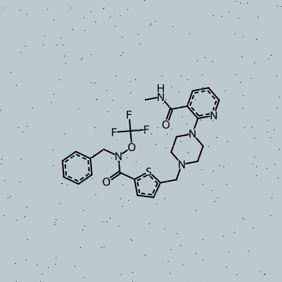 CNC(=O)c1cccnc1N1CCN(Cc2ccc(C(=O)N(Cc3ccccc3)OC(F)(F)F)s2)CC1